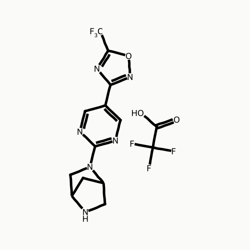 FC(F)(F)c1nc(-c2cnc(N3CC4CC3CN4)nc2)no1.O=C(O)C(F)(F)F